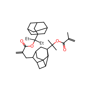 C=C(C)C(=O)OC(C)(C)C12CC3CC4(C1)C(CC4C3CC(=C)C(=O)OC(CC)(CC)C13CC4CC(CC(C4)C1)C3)C2